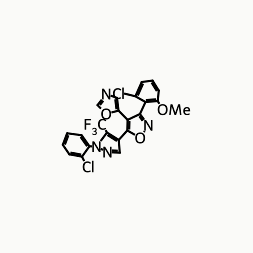 COc1cccc(Cl)c1-c1noc(-c2cnn(-c3ccccc3Cl)c2C(F)(F)F)c1-c1cnco1